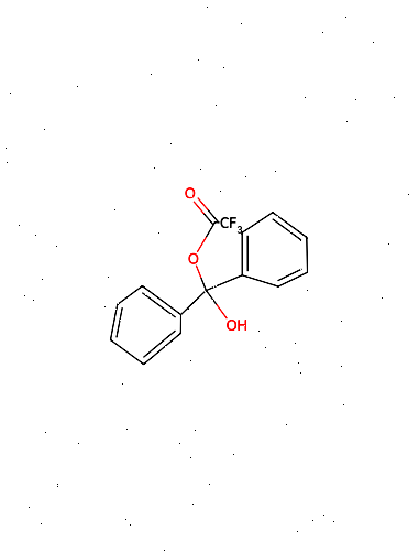 O=C(OC(O)(c1ccccc1)c1ccccc1)C(F)(F)F